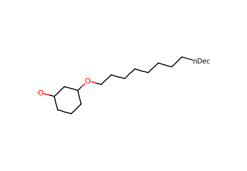 [CH2]CCCCCCCCCCCCCCCCCOC1CCCC([O])C1